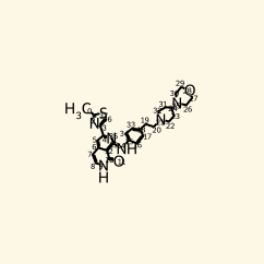 Cc1nc(-c2cc3cc[nH]c(=O)c3c(Nc3ccc(CCN4CCC(N5CCOCC5)CC4)cc3)n2)cs1